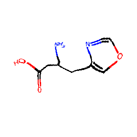 NC(Cc1cocn1)C(=O)O